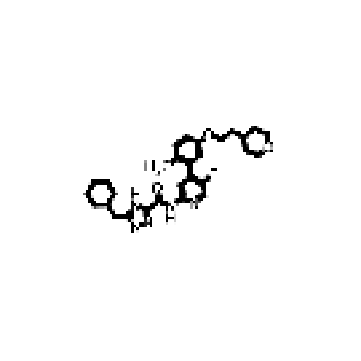 Cc1ccc(OCCC2CCOCC2)cc1-c1cc(NC(=O)c2nnc(CC3CCCCC3)[nH]2)ncc1F